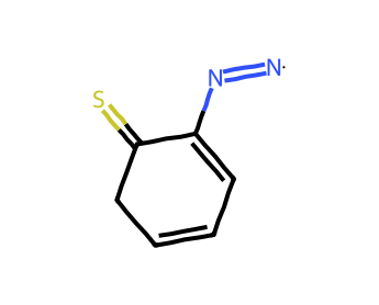 [N]=NC1=CC=CCC1=S